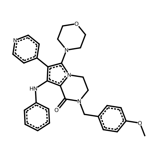 COc1ccc(CN2CCn3c(c(Nc4ccccc4)c(-c4ccncc4)c3N3CCOCC3)C2=O)cc1